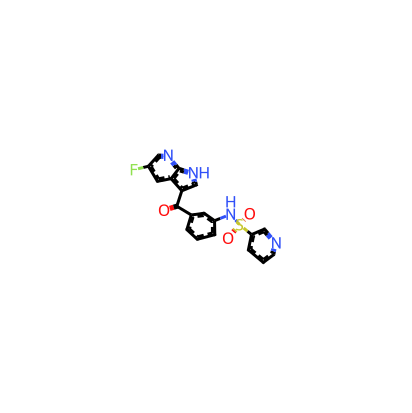 O=C(c1cccc(NS(=O)(=O)c2cccnc2)c1)c1c[nH]c2ncc(F)cc12